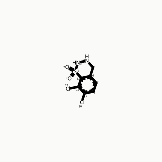 O=S1(=O)NNCc2ccc(Cl)c(Cl)c21